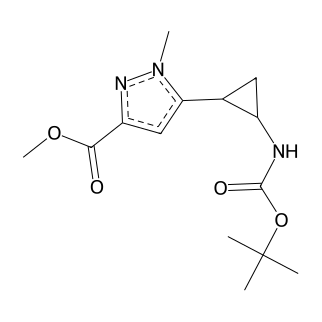 COC(=O)c1cc(C2CC2NC(=O)OC(C)(C)C)n(C)n1